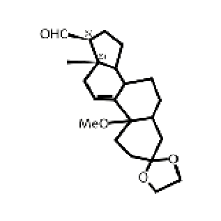 COC12CCC3(CC1CCC1C2=CC[C@@]2(C)C1CC[C@@H]2C=O)OCCO3